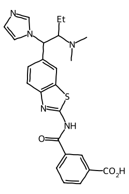 CCC(C(c1ccc2nc(NC(=O)c3cccc(C(=O)O)c3)sc2c1)n1ccnc1)N(C)C